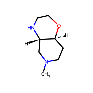 CN1CC[C@@H]2OCCN[C@H]2C1